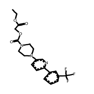 CCOC(=O)COC(=O)N1CCN(c2ccc(-c3cccc(C(F)(F)F)c3)nc2)CC1